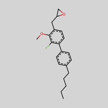 CCCCCc1ccc(-c2ccc(CC3CO3)c(OC)c2F)cc1